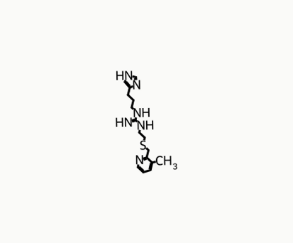 Cc1cccnc1CSCCNC(=N)NCCCc1c[nH]cn1